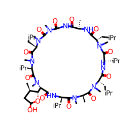 CC(C)C[C@@H]1C(=O)N(C)[C@H](C(C)C)C(=O)N(C)[C@@H]([C@@H]2OC(O)C[C@H]2C)C(=O)N[C@H](C(C)C)C(=O)N(C)[C@H](C)C(=O)N(C)[C@@H](CC(C)C)C(=O)N[C@@H](C(C)C)C(=O)N(C)[C@@H](CC(C)C)C(=O)N[C@@H](C)C(=O)NC(=O)N(C)C(=O)N1C